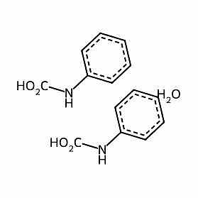 O.O=C(O)Nc1ccccc1.O=C(O)Nc1ccccc1